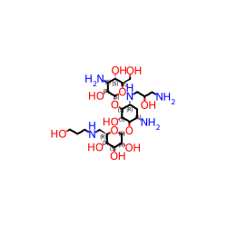 NCC(O)CN[C@@H]1C[C@H](N)C(O[C@H]2O[C@H](CNCCCO)[C@@H](O)[C@H](O)[C@H]2O)[C@H](O)[C@H]1O[C@H]1O[C@H](CO)[C@@H](O)[C@H](N)[C@H]1O